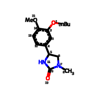 CCCCOc1cc(C2CN(C)C(=O)N2)ccc1OC